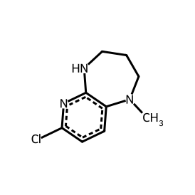 CN1CCCNc2nc(Cl)ccc21